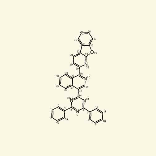 c1ccc(-c2nc(-c3ccccc3)nc(-c3cnc(-c4ccc5c(n4)oc4ccccc45)c4ccccc34)n2)cc1